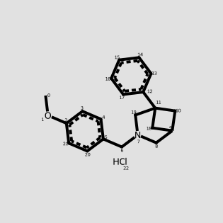 COc1ccc(CN2CC3CC(c4ccccc4)(C3)C2)cc1.Cl